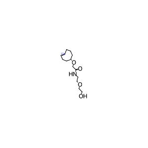 O=C(COC1CC/C=C/CCC1)NCCOCCO